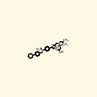 CC(C)CN(Cc1nc(-c2ccc(N(C)Cc3ccc(C4CCCCC4)cc3)cc2)cs1)S(=O)(=O)CC(=O)O